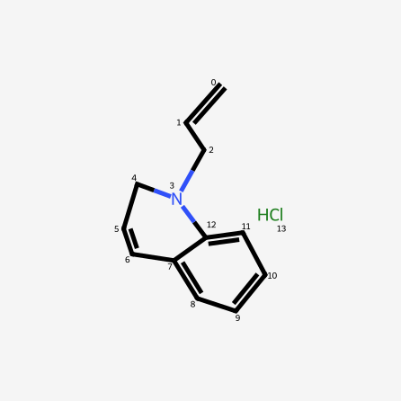 C=CCN1CC=Cc2ccccc21.Cl